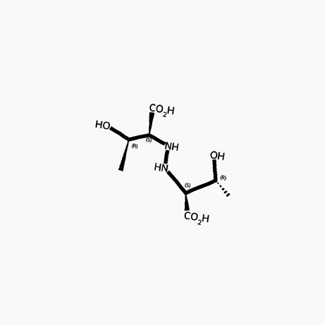 C[C@@H](O)[C@H](NN[C@H](C(=O)O)[C@@H](C)O)C(=O)O